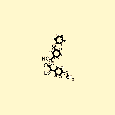 CCC(C(=O)OC(C#N)c1cccc(Oc2ccccc2)c1)c1ccc(SC(F)(F)F)cc1